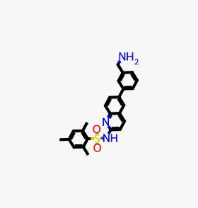 Cc1cc(C)c(S(=O)(=O)Nc2ccc3cc(-c4cccc(CN)c4)ccc3n2)c(C)c1